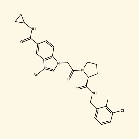 CC(=O)c1cn(CC(=O)N2CCC[C@H]2C(=O)NCc2cccc(Cl)c2F)c2ccc(C(=O)NC3CC3)cc12